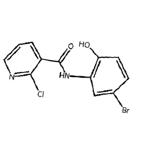 O=C(Nc1cc(Br)ccc1O)c1cccnc1Cl